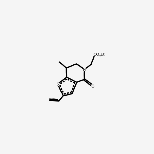 C=Cc1cc2c(s1)C(C)CN(CC(=O)OCC)C2=O